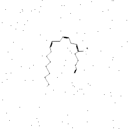 CCCCCCCC/C=C\C/C=C\C/C=C(\CCC[C]=O)[N+](=O)[O-]